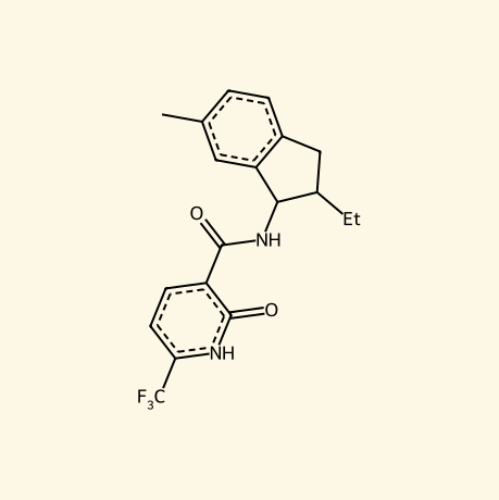 CCC1Cc2ccc(C)cc2C1NC(=O)c1ccc(C(F)(F)F)[nH]c1=O